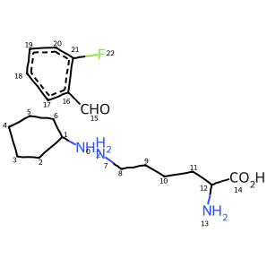 NC1CCCCC1.NCCCCC(N)C(=O)O.O=Cc1ccccc1F